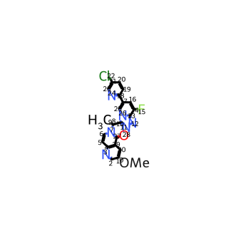 COc1cnc2ccn(C(C)c3nnc4c(F)cc(-c5ccc(Cl)cn5)cn34)c(=O)c2c1